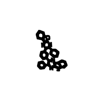 c1ccc(-c2nc3oc4ccccc4c3nc2-c2cccc(-c3nc4c(nc3-c3ccccc3)sc3ccccc34)c2)cc1